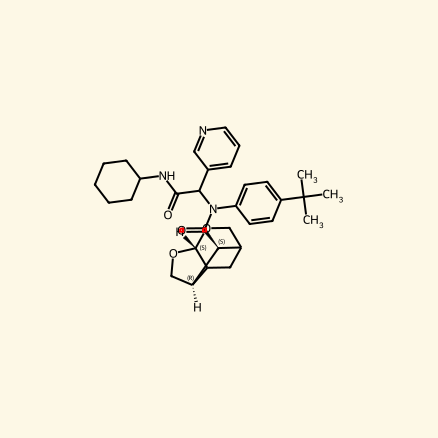 CC(C)(C)c1ccc(N(C(=O)[C@H]2C3CO[C@H]4OC[C@@H]2C4C3)C(C(=O)NC2CCCCC2)c2cccnc2)cc1